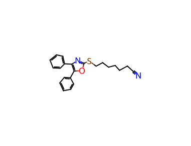 N#CCCCCCCSc1nc(-c2ccccc2)c(-c2ccccc2)o1